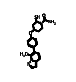 Cc1c(-c2ccc(OC3CCN(C(N)=O)C(S)C3)cc2)ccc2ccnn12